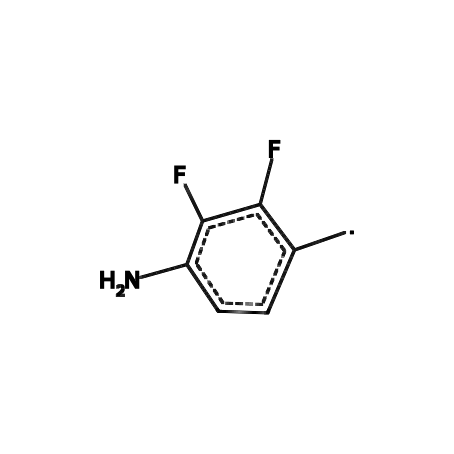 [CH2]c1ccc(N)c(F)c1F